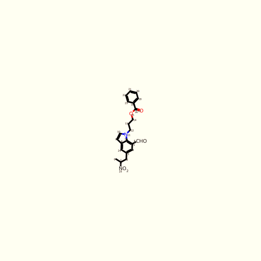 CC(Cc1cc(C=O)c2c(ccn2CCCOC(=O)c2ccccc2)c1)[N+](=O)[O-]